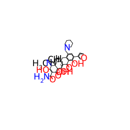 CN(C)[C@@H]1C(O)=C(C(N)=O)C(=O)[C@@]2(O)C(O)=C3C(=O)c4c(O)c(-c5ccoc5)cc(CN5CCCCC5)c4C[C@H]3C[C@@H]12